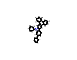 c1ccc(-c2ccc3c4cc5c6ccccc6c6ccccc6c5cc4n(-c4ccccc4)c3c2)cc1